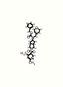 Cc1cc(C)c(S(=O)(=O)N2CC3CC(N(CC4CCOCC4)C(=O)OCc4ccccc4)CC3C2)cn1